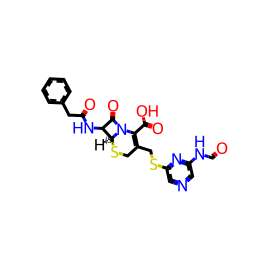 O=CNc1cncc(SCC2=C(C(=O)O)N3C(=O)C(NC(=O)Cc4ccccc4)[C@@H]3SC2)n1